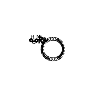 C=CC(=O)N1CCCCCCCCCCCCCCCCCCCCCCCCCCCCCCCCCCCCCCCC2(CC(Nc3ncnc(N)c3-c3ccc(Oc4ccccc4)cc3)C2)C1